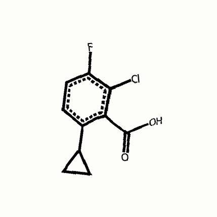 O=C(O)c1c(C2CC2)ccc(F)c1Cl